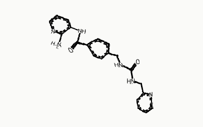 Nc1ncccc1NC(=O)c1ccc(CNC(=O)NCc2ccccn2)cc1